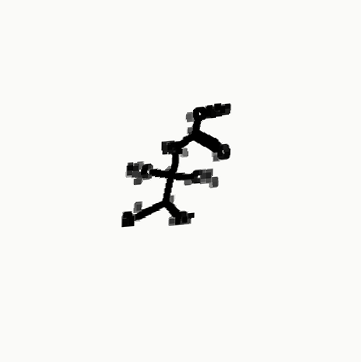 COC(=O)NC(C)(C)C(Br)Br